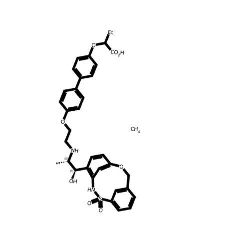 C.CCC(Oc1ccc(-c2ccc(OCCN[C@@H](C)[C@H](O)c3ccc4cc3NS(=O)(=O)c3cccc(c3)CO4)cc2)cc1)C(=O)O